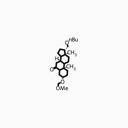 CCCCOC[C@H]1CCC2[C@@H]3CC(=O)C4C[C@@H](OCOC)CC[C@]4(C)C3CC[C@@]21C